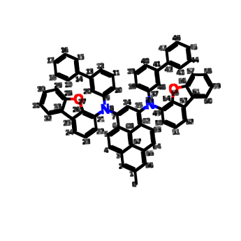 Cc1cc2ccc3c(N(c4cccc(-c5ccccc5)c4)c4cccc5c4oc4ccccc45)cc(N(c4cccc(-c5ccccc5)c4)c4cccc5c4oc4ccccc45)c4ccc(c1)c2c34